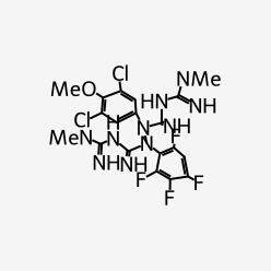 CNC(=N)NC(=N)N(c1cc(Cl)c(OC)c(Cl)c1)N(C(=N)NC(=N)NC)c1c(F)cc(F)c(F)c1F